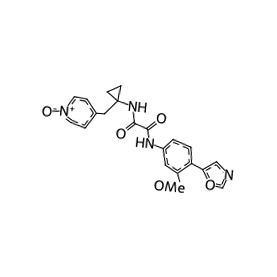 COc1cc(NC(=O)C(=O)NC2(Cc3cc[n+]([O-])cc3)CC2)ccc1-c1cnco1